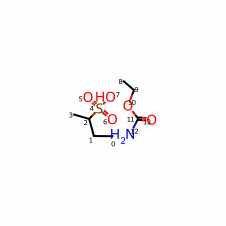 CCC(C)S(=O)(=O)O.CCOC(N)=O